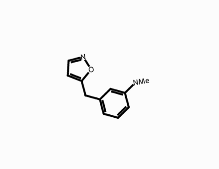 CNc1cccc(Cc2ccno2)c1